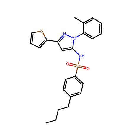 CCCCc1ccc(S(=O)(=O)Nc2cc(-c3cccs3)nn2-c2ccccc2C)cc1